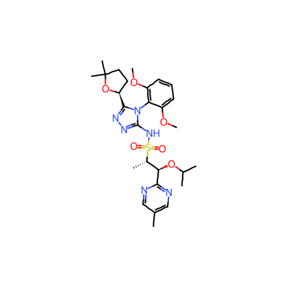 COc1cccc(OC)c1-n1c(NS(=O)(=O)[C@@H](C)[C@@H](OC(C)C)c2ncc(C)cn2)nnc1[C@@H]1CCC(C)(C)O1